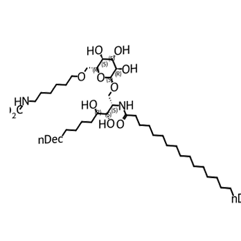 CCCCCCCCCCCCCCCCCCCCCCCCCC(=O)N[C@@H](CO[C@H]1O[C@H](COCCCCCCNC(=O)O)[C@@H](O)[C@H](O)[C@H]1O)[C@H](O)[C@H](O)CCCCCCCCCCCCCC